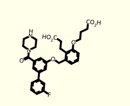 O=C(O)CCCOc1cccc(COc2cc(C(=O)N3CCNCC3)cc(-c3cccc(F)c3)c2)c1CCC(=O)O